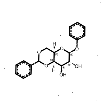 O[C@@H]1[C@@H](O)[C@H](Oc2ccccc2)O[C@@H]2COC(c3ccccc3)O[C@H]12